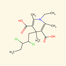 CCC(Cl)C(Cl)CC1(CC)C(C(=O)O)=C(C)N(CC)C(C)=C1C(=O)O